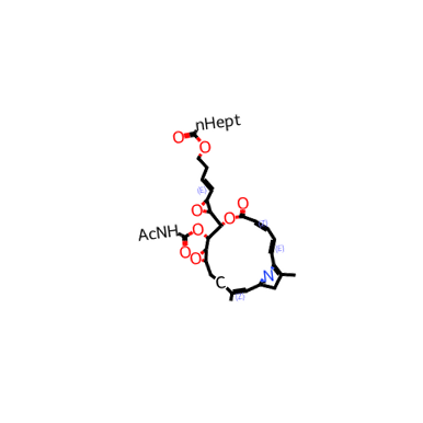 CCCCCCCC(=O)OCC/C=C/C1OC1C1OC(=O)/C=C\C=C\C2=C(C)CC(=N2)/C=C(/C)CCC2OC2C1OC(=O)NC(C)=O